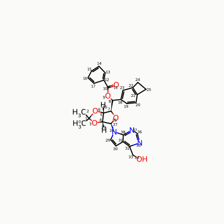 CC1(C)O[C@@H]2[C@H](O1)[C@@H](C(OC(=O)c1ccccc1)c1ccc3c(c1)CC3)O[C@H]2n1ccc2c(CO)ncnc21